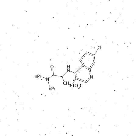 CCCN(CCC)C(=O)C(C)Nc1c(C(=O)OCC)cnc2cc(Cl)ccc12